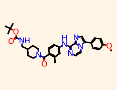 COc1ccc(-c2cnc3c(Nc4ccc(C(=O)N5CCC(CNC(=O)OC(C)(C)C)CC5)c(C)c4)nccn23)cc1